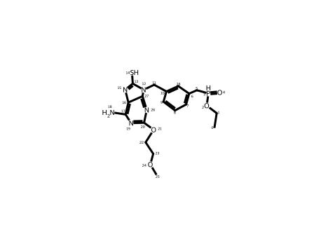 CCO[PH](=O)Cc1cccc(Cn2c(S)nc3c(N)nc(OCCOC)nc32)c1